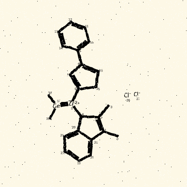 CC1=C(C)[CH]([Zr+2]([C]2=CC(c3ccccc3)=CC2)=[Ge]([CH3])[CH3])c2ccccc21.[Cl-].[Cl-]